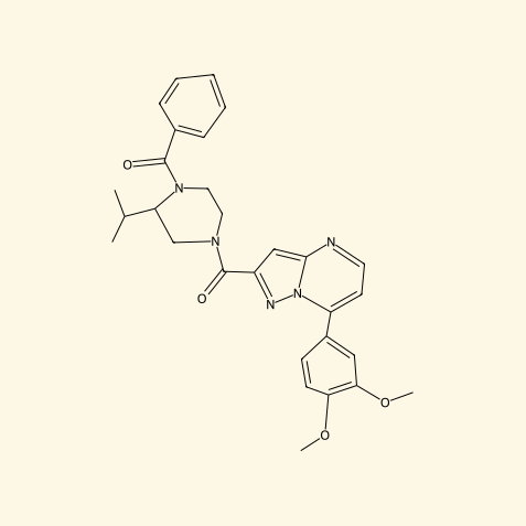 COc1ccc(-c2ccnc3cc(C(=O)N4CCN(C(=O)c5ccccc5)C(C(C)C)C4)nn23)cc1OC